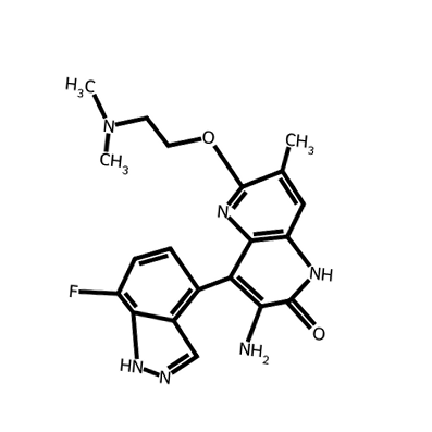 Cc1cc2[nH]c(=O)c(N)c(-c3ccc(F)c4[nH]ncc34)c2nc1OCCN(C)C